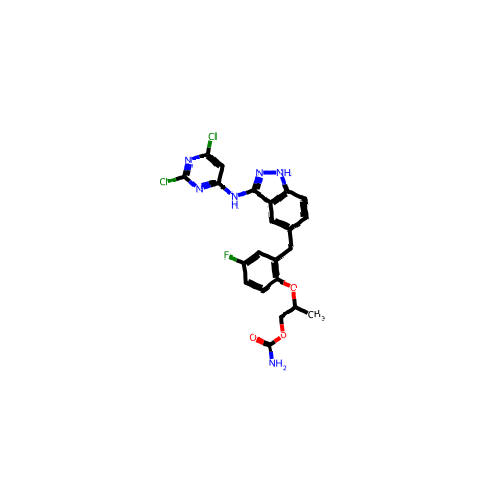 CC(COC(N)=O)Oc1ccc(F)cc1Cc1ccc2[nH]nc(Nc3cc(Cl)nc(Cl)n3)c2c1